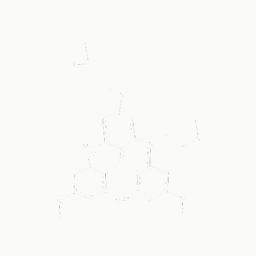 COc1cc(N(C)C)cc(OC)c1-[c+]1c2c(OC)cc(N(C)C)cc2n(CCN(C)C)c2cc(N(C)C)cc(OC)c21.F[B-](F)(F)F